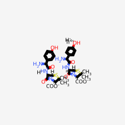 CC1(C)S[C@@H]2[C@H](NC(=O)C(N)c3ccc(O)cc3)C(=O)N2[C@H]1C(=O)[O-].CC1(C)S[C@@H]2[C@H](NC(=O)C(N)c3ccc(O)cc3)C(=O)N2[C@H]1C(=O)[O-].[H-].[H-].[Ti+4]